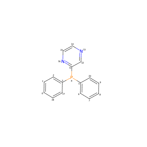 c1ccc(P(c2ccccc2)c2cnccn2)cc1